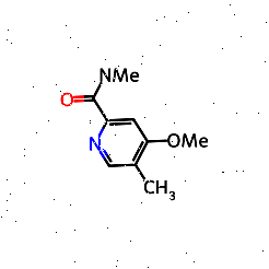 CNC(=O)c1cc(OC)c(C)cn1